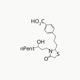 CCCCCC(O)CCN1C(=O)CSC1CCCc1ccc(C(=O)O)cc1